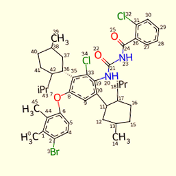 Cc1c(Br)ccc(Oc2cc(C3CC(C)CCC3C(C)C)c(NC(=O)NC(=O)c3ccccc3Cl)c(Cl)c2[C@H]2CC(C)CCC2C(C)C)c1C